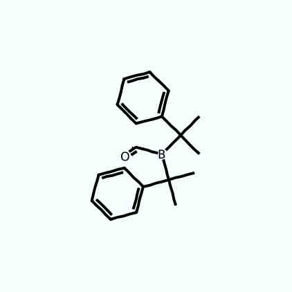 CC(C)(B([C]=O)C(C)(C)c1ccccc1)c1ccccc1